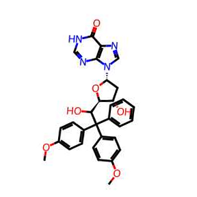 COc1ccc(C(c2ccccc2)(c2ccc(OC)cc2)C(O)[C@H]2O[C@H](n3cnc4c(=O)[nH]cnc43)C[C@@H]2O)cc1